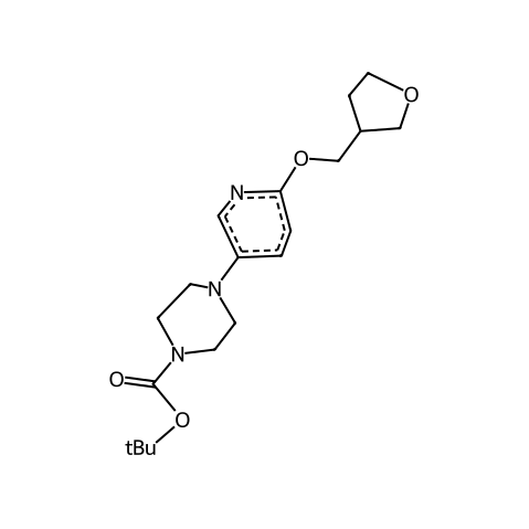 CC(C)(C)OC(=O)N1CCN(c2ccc(OCC3CCOC3)nc2)CC1